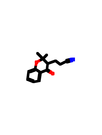 CC1(C)Oc2ccccc2C(=O)C1CCC#N